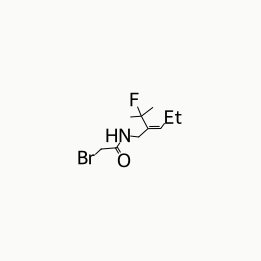 CC/C=C(/CNC(=O)CBr)C(C)(C)F